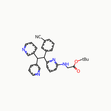 CC(C)(C)OC(=O)CNc1cccc(C(c2cccc(C#N)c2)C(c2cccnc2)c2cccnc2)n1